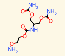 NOCCOC(=O)NC(COC(N)=O)COC(N)=O